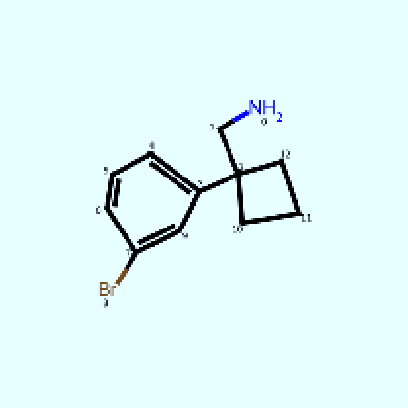 NCC1(c2cccc(Br)c2)CCC1